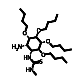 CCCCO[C@H]1[C@H](OCCCC)[C@@H](OCCCC)[C@H](NC(=S)NC)[C@H](N)[C@@H]1OCCCC